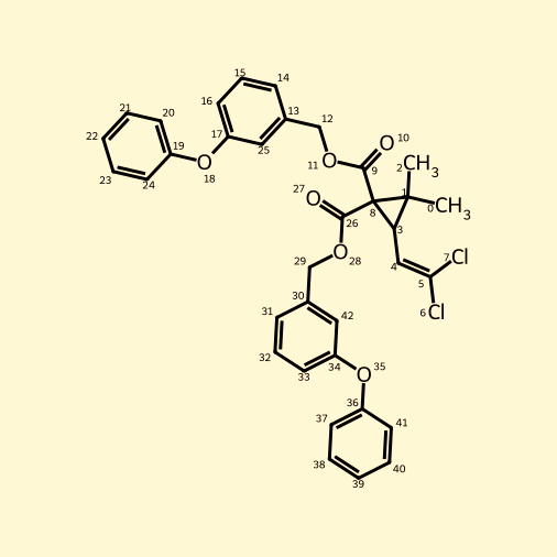 CC1(C)C(C=C(Cl)Cl)C1(C(=O)OCc1cccc(Oc2ccccc2)c1)C(=O)OCc1cccc(Oc2ccccc2)c1